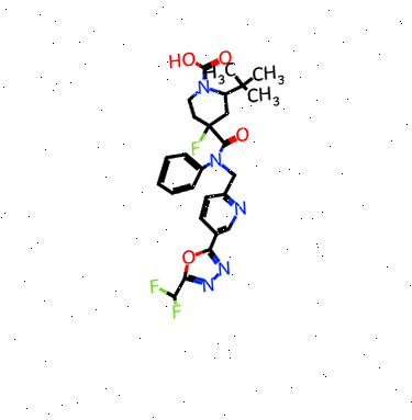 CC(C)(C)C1CC(F)(C(=O)N(Cc2ccc(-c3nnc(C(F)F)o3)cn2)c2ccccc2)CCN1C(=O)O